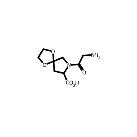 NCC(=O)N1CC2(CC1C(=O)O)OCCO2